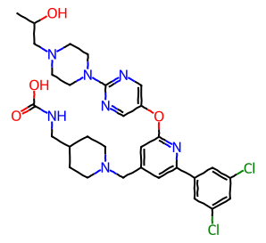 CC(O)CN1CCN(c2ncc(Oc3cc(CN4CCC(CNC(=O)O)CC4)cc(-c4cc(Cl)cc(Cl)c4)n3)cn2)CC1